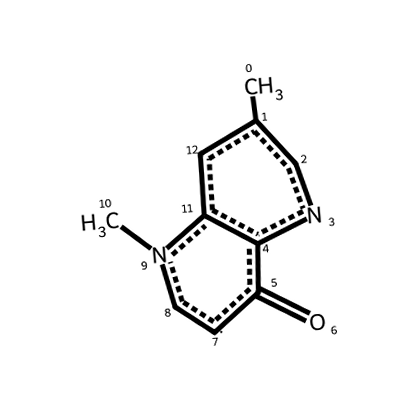 Cc1cnc2c(=O)[c]cn(C)c2c1